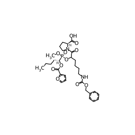 CCCC[C@@H](OC(=O)c1ccco1)P(=O)(OC)OC(CCCCNC(=O)OCc1ccccc1)C(=O)N1CCC[C@H]1C(=O)O